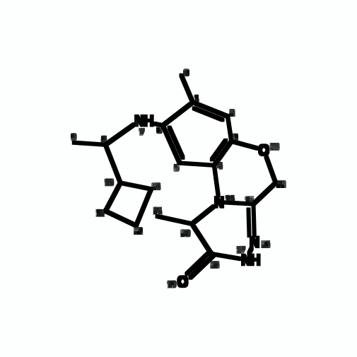 Cc1cc2c(cc1NC(C)C1CCC1)N1C(=NNC(=O)C1C)CO2